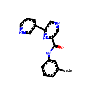 COc1cccc(NC(=O)c2cncc(-c3cccnc3)n2)c1